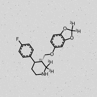 [2H]C1([2H])Oc2ccc(OC[C@H]3C(c4ccc(F)cc4)CCNC3([2H])[2H])cc2O1